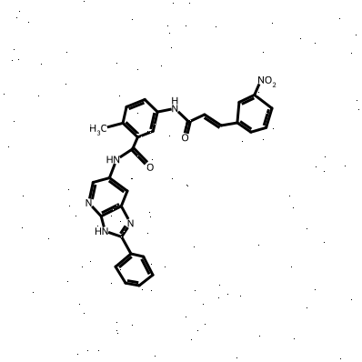 Cc1ccc(NC(=O)/C=C/c2cccc([N+](=O)[O-])c2)cc1C(=O)Nc1cnc2[nH]c(-c3ccccc3)nc2c1